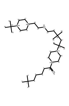 CC(C)(C)CCCCC(=O)N1CCN(C(C)(C)CC(C)(C)CCOCCN2CCN(C(C)(C)C)CC2)CC1